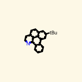 CC(C)(C)c1cc2ccc3ccnc4c5ccccc5c(c1)c2c34